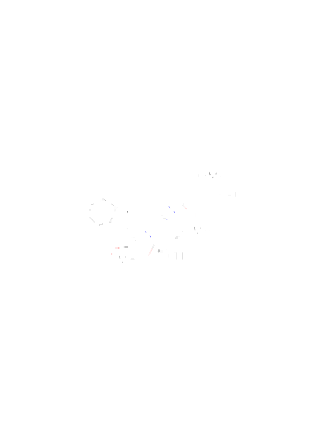 CCC(C)CC(CC(=O)N1CCC[C@H]1[C@H](OC)[C@@H](C)C(=O)N[C@H](C(=O)OC)[C@@H]1Cc2ccccc21)OC